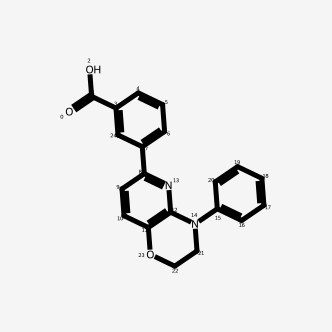 O=C(O)c1cccc(-c2ccc3c(n2)N(c2ccccc2)CCO3)c1